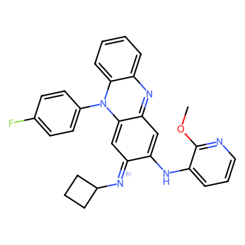 COc1ncccc1Nc1cc2nc3ccccc3n(-c3ccc(F)cc3)c-2c/c1=N\C1CCC1